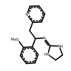 COc1ccccc1C(Cc1ccccn1)N=C1NCCN1